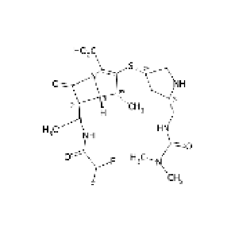 CC(NC(=O)C(F)F)[C@H]1C(=O)N2C(C(=O)O)=C(S[C@@H]3CN[C@H](CNC(=O)N(C)C)C3)[C@H](C)[C@H]12